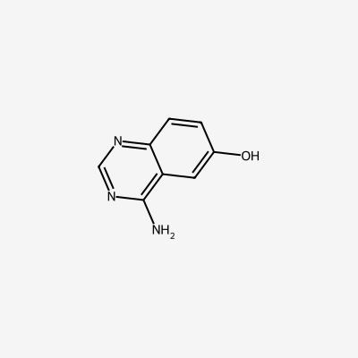 Nc1ncnc2ccc(O)cc12